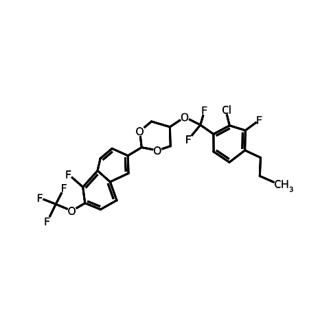 CCCc1ccc(C(F)(F)OC2COC(c3ccc4c(F)c(OC(F)(F)F)ccc4c3)OC2)c(Cl)c1F